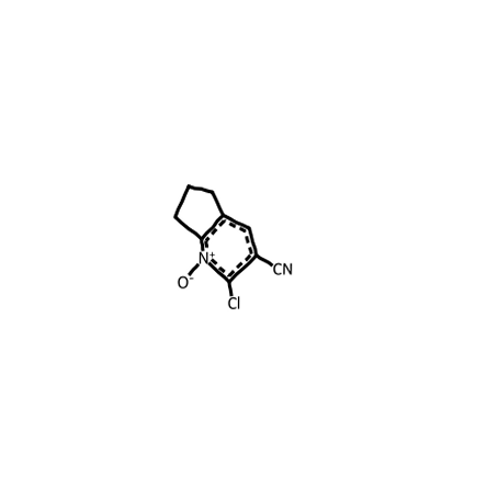 N#Cc1cc2c([n+]([O-])c1Cl)CCC2